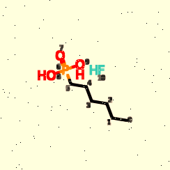 CCCCCCP(=O)(O)O.F